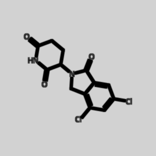 O=C1CCC(N2Cc3c(Cl)cc(Cl)cc3C2=O)C(=O)N1